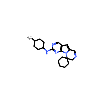 CC1CCC(Nc2ncc3cc4n(c3n2)C2(CCCCC2)CN=C4)CC1